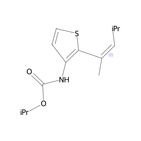 C/C(=C/C(C)C)c1sccc1NC(=O)OC(C)C